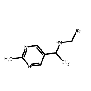 [CH2]C(NCC(C)C)c1cnc(C)nc1